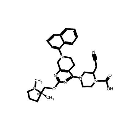 CN1CCC[C@@]1(C)COc1nc2c(c(N3CCN(C(=O)O)C(CC#N)C3)n1)CCN(c1cccc3ccccc13)C2